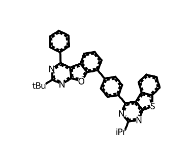 CC(C)c1nc(-c2ccc(-c3cccc4c3oc3nc(C(C)(C)C)nc(-c5ccccc5)c34)cc2)c2c(n1)sc1ccccc12